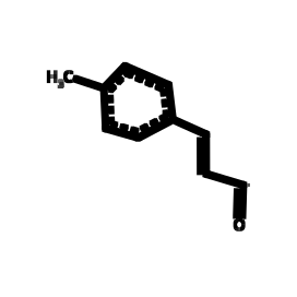 Cc1ccc(/C=C/[C]=O)cc1